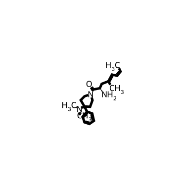 C/C=C\C=C(/C)C[C@H](N)C(=O)N1CCC(c2ccccc2)(N(C)C)CC1